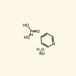 O.O=[PH](O)O.[KH].c1ccncc1